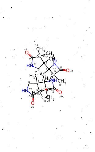 CC1([C]2([Al][C]3(C4(C)CNC(=O)[Si]4(C)C)NC(=O)[Si]3(C)C)NC(=O)[Si]2(C)C)CNC(=O)[Si]1(C)C